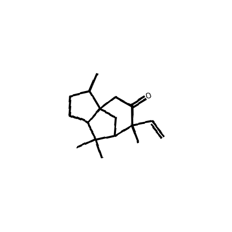 C=CC1(C)C(=O)CC23CC1C(C)(C)C2CCC3C